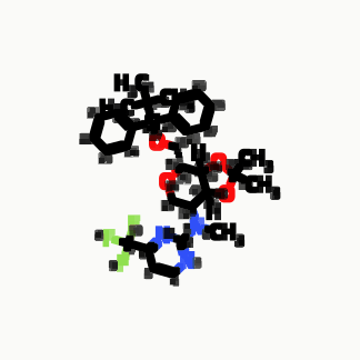 CN(c1nccc(C(F)(F)F)n1)[C@H]1CO[C@H](CO[Si](c2ccccc2)(c2ccccc2)C(C)(C)C)[C@@H]2OC(C)(C)O[C@@H]21